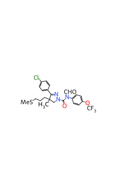 CSCCCC1(C)CN(C(=O)N(C=O)c2ccc(OC(F)(F)F)cc2)N=C1c1ccc(Cl)cc1